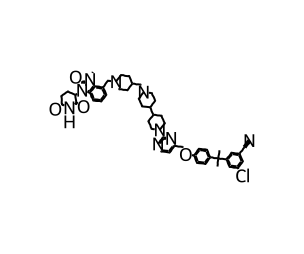 Cn1c(=O)n(C2CCC(=O)NC2=O)c2cccc(CN3CCC(CN4CCC(C5CCN(c6nccc(COc7ccc(C(C)(C)c8cc(Cl)cc(C#N)c8)cc7)n6)CC5)CC4)CC3)c21